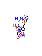 Cn1c(=O)n(C2CCC(=O)NC2=O)c2cccc(C=CCCc3cccnc3C(N)=O)c21